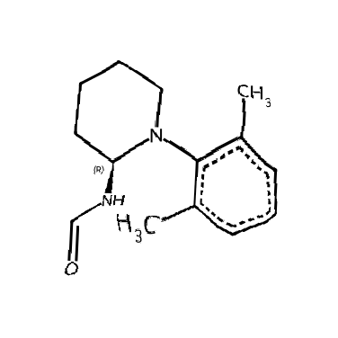 Cc1cccc(C)c1N1CCCC[C@@H]1NC=O